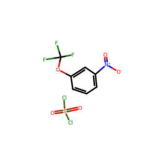 O=S(=O)(Cl)Cl.O=[N+]([O-])c1cccc(OC(F)(F)F)c1